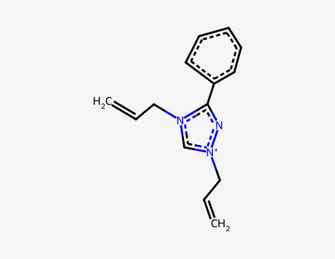 C=CCn1c[n+](CC=C)nc1-c1ccccc1